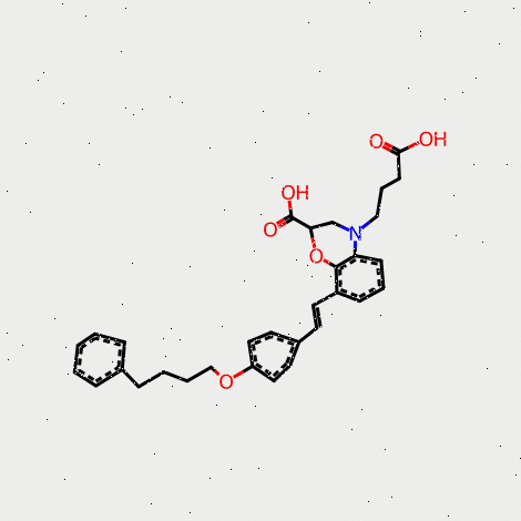 O=C(O)CCCN1CC(C(=O)O)Oc2c(/C=C/c3ccc(OCCCCc4ccccc4)cc3)cccc21